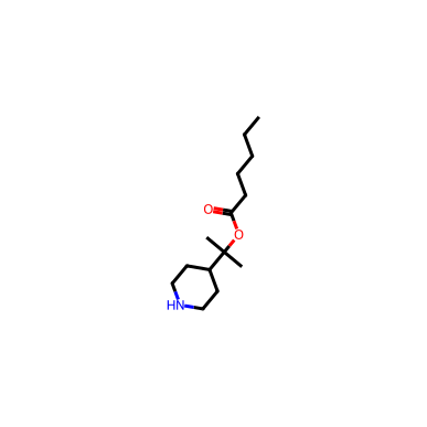 CCCCCC(=O)OC(C)(C)C1CCNCC1